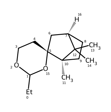 CCC1OCC[C@]2(C[C@H]3CC[C@]2(C)C3(C)C)O1